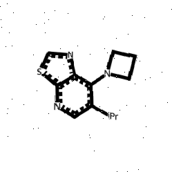 CC(C)c1cnc2scnc2c1N1CCC1